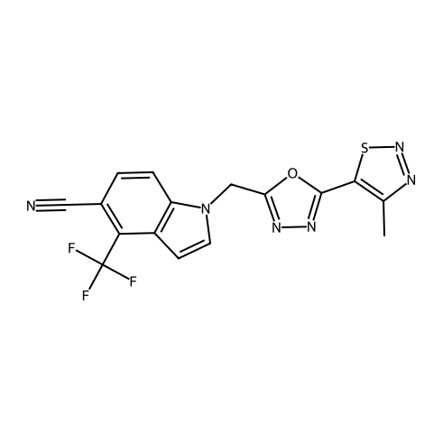 Cc1nnsc1-c1nnc(Cn2ccc3c(C(F)(F)F)c(C#N)ccc32)o1